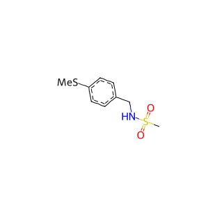 CSc1ccc(CNS(C)(=O)=O)cc1